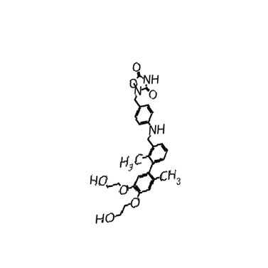 Cc1cc(OCCO)c(OCCO)cc1-c1cccc(CNc2ccc(Cn3oc(=O)[nH]c3=O)cc2)c1C